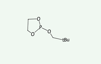 CC(C)(C)COP1OCCO1